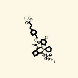 COC(=O)CCc1ccc(CONC(=O)[C@@H]2c3ccccc3C(=O)N(C3CCCC[C@@H]3NS(C)(=O)=O)[C@H]2c2ccc(Cl)cc2)cc1